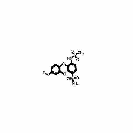 CS(=O)(=O)Nc1ccc(S(N)(=O)=O)cc1Oc1ccc(SF)cc1Cl